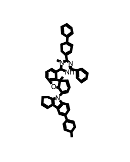 CC1C=CC(c2ccc3c(c2)c2c(n3C3=CC=CC4(C)c5c(cccc5C5NC(c6ccccc6)=NC(C6=CC=C(c7ccccc7)CC6)N5C)OC34)CCC=C2)=CC1